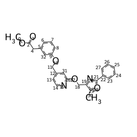 COC(=O)Cc1cccc(OCc2ccnc(OCc3nc(-c4ccccc4)oc3C)c2)c1